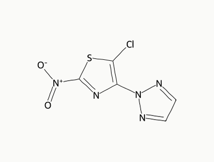 O=[N+]([O-])c1nc(-n2nccn2)c(Cl)s1